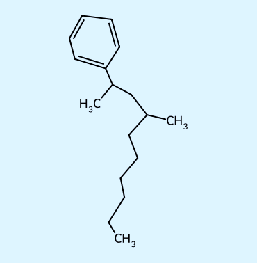 CCCCCCC(C)CC(C)c1ccccc1